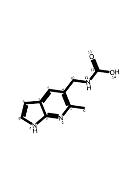 Cc1nc2[nH]ccc2cc1CNC(=O)O